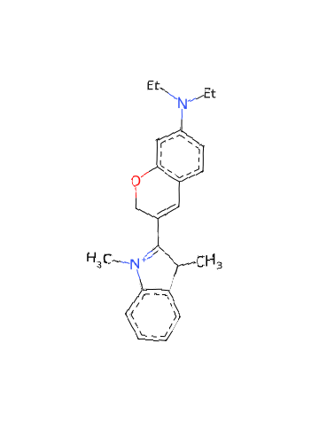 CCN(CC)c1ccc2c(c1)OCC(C1=[N+](C)c3ccccc3C1C)=C2